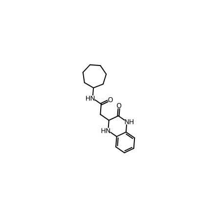 O=C(CC1Nc2ccccc2NC1=O)NC1CCCCCC1